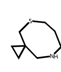 C1CNCC2(CC2)CSC1